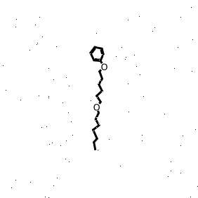 [CH2]CCCCCCOCCCCCCOc1ccccc1